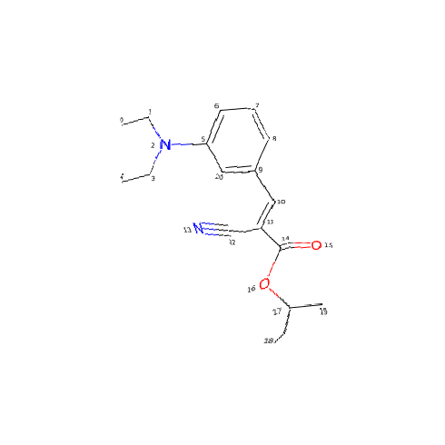 CCN(CC)c1cccc(/C=C(\C#N)C(=O)OC(C)C)c1